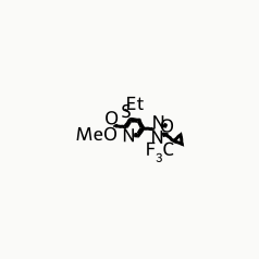 CCSc1cc(-c2noc(C3(C(F)(F)F)CC3)n2)cnc1C(=O)OC